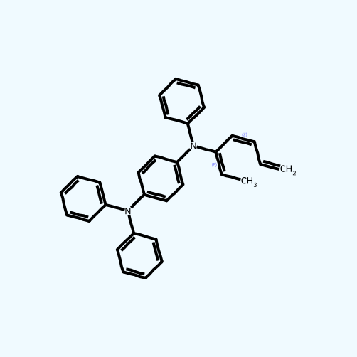 C=C/C=C\C(=C/C)N(c1ccccc1)c1ccc(N(c2ccccc2)c2ccccc2)cc1